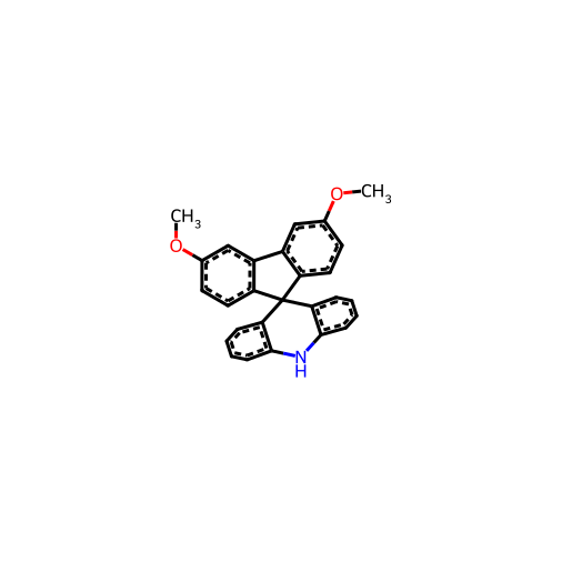 COc1ccc2c(c1)-c1cc(OC)ccc1C21c2ccccc2Nc2ccccc21